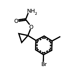 Cc1cc(Br)cc(C2(OC(N)=O)CC2)c1